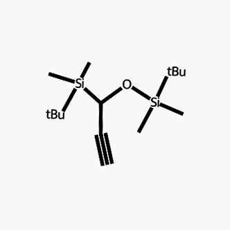 C#CC(O[Si](C)(C)C(C)(C)C)[Si](C)(C)C(C)(C)C